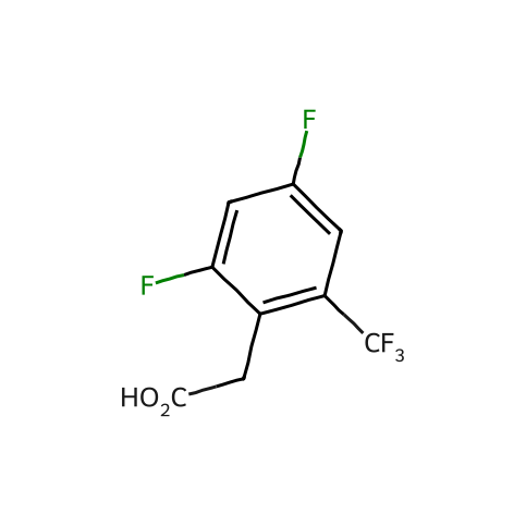 O=C(O)Cc1c(F)cc(F)cc1C(F)(F)F